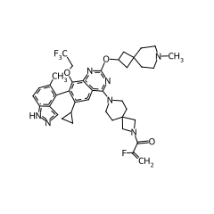 C=C(F)C(=O)N1CC2(CCN(c3nc(OC4CC5(CCN(C)CC5)C4)nc4c(OCC(F)(F)F)c(-c5c(C)ccc6[nH]ncc56)c(C5CC5)cc34)CC2)C1